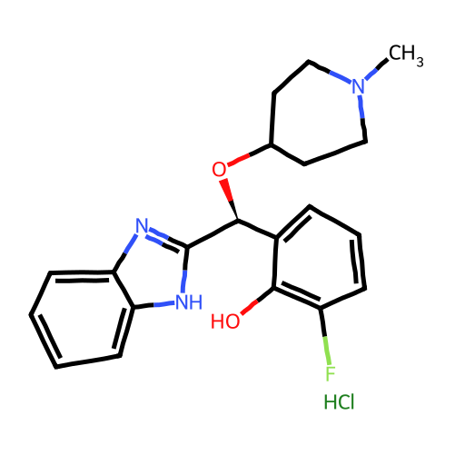 CN1CCC(O[C@H](c2nc3ccccc3[nH]2)c2cccc(F)c2O)CC1.Cl